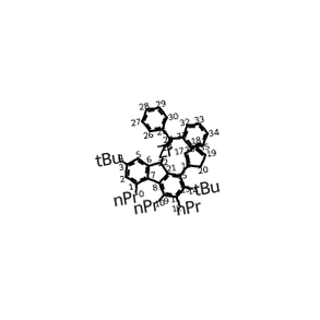 CCCc1cc(C(C)(C)C)cc2c1-c1c(CCC)c(CCC)c(C(C)(C)C)c(C3=CC=CC3)c1[CH]2[Zr]=[C](c1ccccc1)c1ccccc1